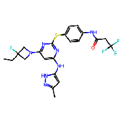 CCC1(F)CN(c2cc(Nc3cc(C)n[nH]3)nc(Sc3ccc(NC(=O)CC(F)(F)F)cc3)n2)C1